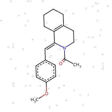 COc1ccc(/C=C2/C3=C(CCCC3)CCN2C(C)=O)cc1